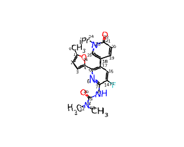 Cc1ccc(-c2nc(NC(=O)N(C)C)c(F)cc2-c2ccc(=O)n(C(C)C)c2)o1